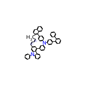 C/C=C\C=C/c1cc(-c2cccc(N(c3ccc(-c4ccccc4-c4ccccc4)cc3)c3ccc(-c4cccc5ccccc45)cc3)c2)c2c3ccccc3n(-c3ccccc3)c2c1